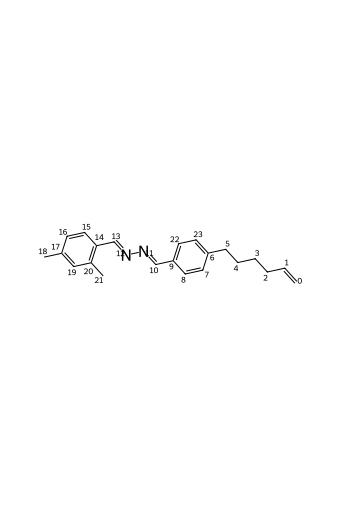 C=CCCCCc1ccc(/C=N/N=C/c2ccc(C)cc2C)cc1